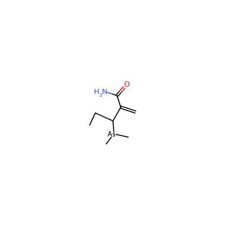 C=C(C(N)=O)C(CC)[As](C)C